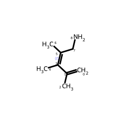 C=C(C)/C(C)=C(/C)CN